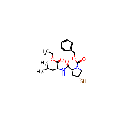 CCOC(=O)[C@H](CC(C)C)NC(=O)[C@@H]1C[C@@H](S)CN1C(=O)OCc1ccccc1